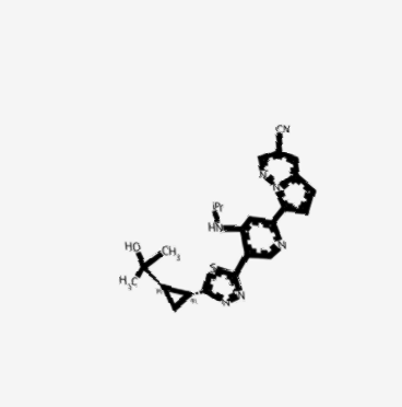 CC(C)Nc1cc(-c2ccc3cc(C#N)cnn23)ncc1-c1nnc([C@@H]2C[C@H]2C(C)(C)O)s1